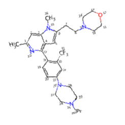 Cc1cc2c(cc(CCN3CCOCC3)n2C)c(-c2ccc(N3CCN(C(C)C)CC3)cc2C(F)(F)F)n1